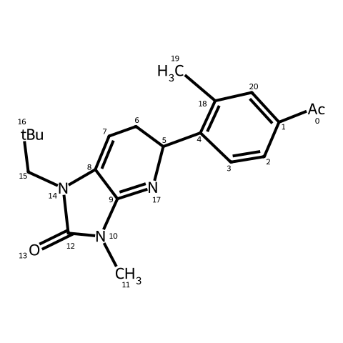 CC(=O)c1ccc(C2CC=c3c(n(C)c(=O)n3CC(C)(C)C)=N2)c(C)c1